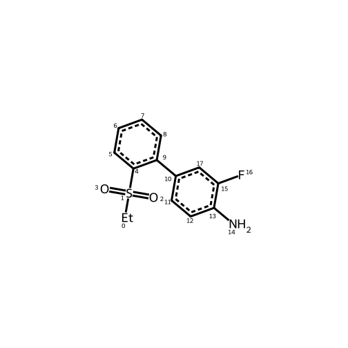 CCS(=O)(=O)c1ccccc1-c1ccc(N)c(F)c1